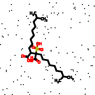 CC(C)CCCCCCCC(C(=O)O)C(CCCCCCCC(C)C)(C(=O)O)S(=O)(=O)O